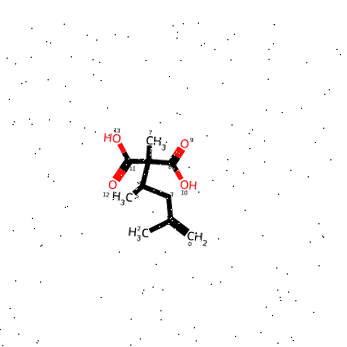 C=C(C)CC(C)C(C)(C(=O)O)C(=O)O